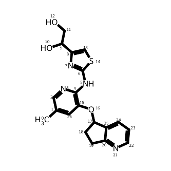 Cc1cnc(Nc2nc(C(O)CO)cs2)c(OC2CCc3ncccc32)c1